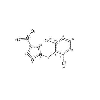 O=[N+]([O-])c1cnn(Cc2c(Cl)cccc2Cl)c1